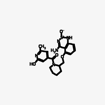 Cc1cc(C(=O)N2CCCCC2COc2cccc3c2C(N)=N[S+]([O-])N3)cc(O)n1